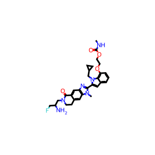 CNC(=O)OCCOc1cccc2cc(-c3nc4cc5c(cc4n3C)CCN(CC(N)CF)C5=O)n(CC3CC3)c12